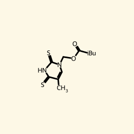 CCC(C)C(=O)OCn1cc(C)c(=S)[nH]c1=S